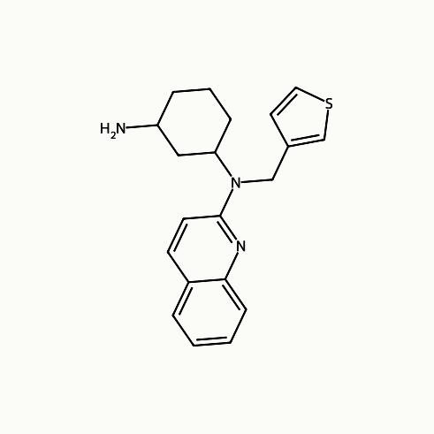 NC1CCCC(N(Cc2ccsc2)c2ccc3ccccc3n2)C1